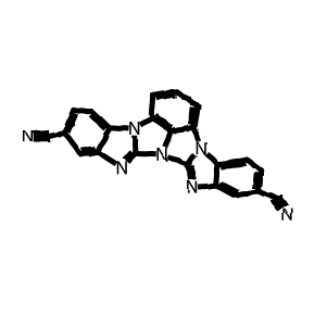 N#Cc1ccc2c(c1)nc1n2c2cccc3c2n1c1nc2cc(C#N)ccc2n31